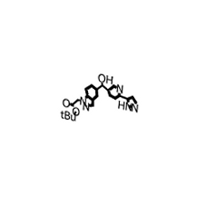 CC(C)(C)OC(=O)Cn1ncc2cc(C(O)c3ccc(-c4ccn[nH]4)nc3)ccc21